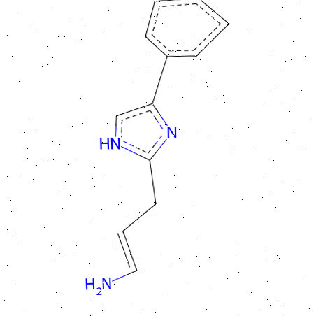 NC=CCc1nc(-c2ccccc2)c[nH]1